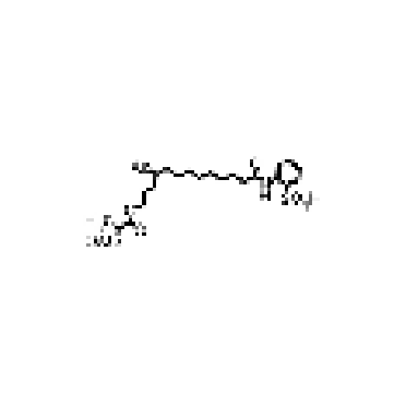 COC(C)C(=O)OCCCC(CCCCCCCCC(=O)Nc1ccccc1S(=O)(=O)O)C(C)=O